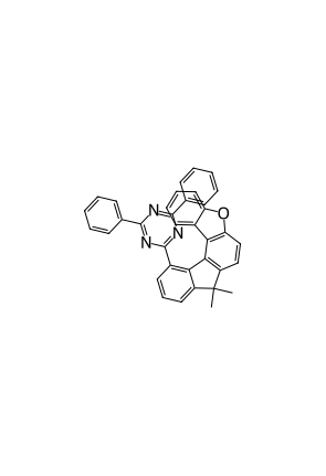 CC1(C)c2cccc(-c3nc(-c4ccccc4)nc(-c4ccccc4)n3)c2-c2c1ccc1oc3ccccc3c21